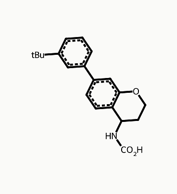 CC(C)(C)c1cccc(-c2ccc3c(c2)OCCC3NC(=O)O)c1